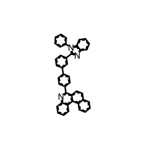 c1ccc(-n2c(-c3cccc(-c4ccc(-c5nc6ccccc6c6c5ccc5ccccc56)cc4)c3)nc3ccccc32)cc1